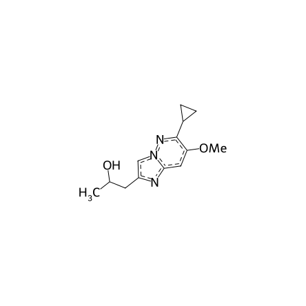 COc1cc2nc(CC(C)O)cn2nc1C1CC1